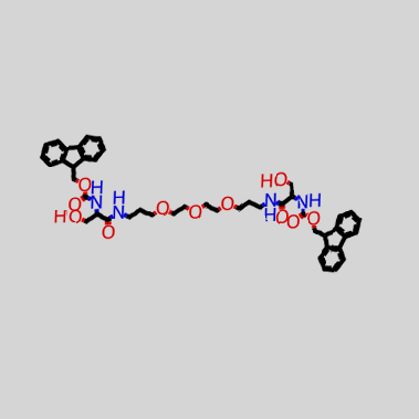 O=C(NC(CO)C(=O)NCCCOCCOCCOCCCNC(=O)C(CO)NC(=O)OCC1c2ccccc2-c2ccccc21)OCC1c2ccccc2-c2ccccc21